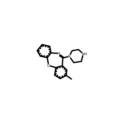 Cc1ccc2c(c1)C(N1CCNCC1)=Nc1ccccc1O2